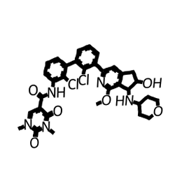 COc1nc(-c2cccc(-c3cccc(NC(=O)c4cn(C)c(=O)n(C)c4=O)c3Cl)c2Cl)cc2c1C(NC1CCOCC1)C(O)C2